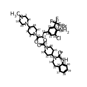 Br.CN1CCN(C2CCN(C(=O)[C@@H](Cc3cc(Cl)c(N)c(C(F)(F)F)c3)OC(=O)N3CCC(N4CCc5ccccc5NC4=O)CC3)CC2)CC1